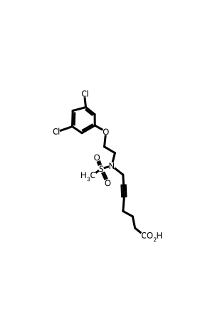 CS(=O)(=O)N(CC#CCCCC(=O)O)CCOc1cc(Cl)cc(Cl)c1